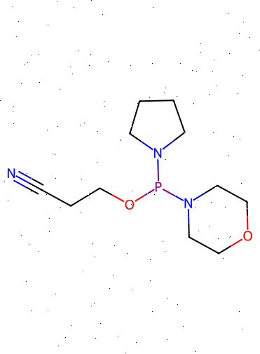 N#CCCOP(N1CCCC1)N1CCOCC1